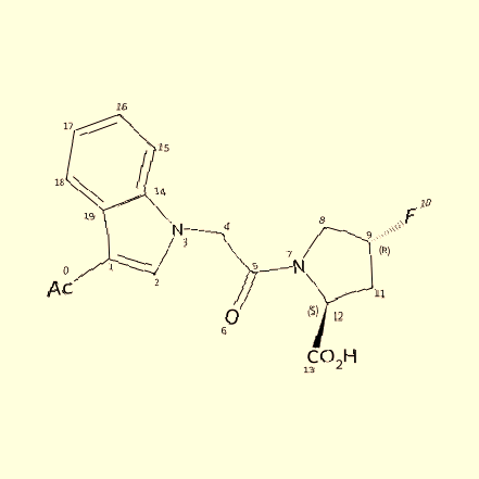 CC(=O)c1cn(CC(=O)N2C[C@H](F)C[C@H]2C(=O)O)c2ccccc12